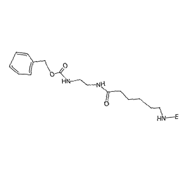 CCNCCCCCC(=O)NCCNC(=O)OCc1ccccc1